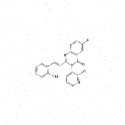 O=c1c2cc(F)ccc2nc(C=Cc2ccccc2O)n1-c1cccnc1Cl